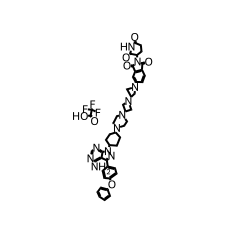 Nc1ncnc2c1c(-c1ccc(Oc3ccccc3)cc1)nn2C1CCC(N2CCN(C3CN(C4CN(c5ccc6c(c5)C(=O)N(C5CCC(=O)NC5=O)C6=O)C4)C3)CC2)CC1.O=C(O)C(F)(F)F